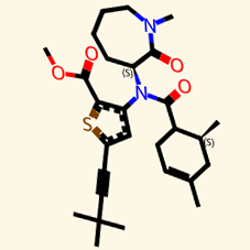 COC(=O)c1sc(C#CC(C)(C)C)cc1N(C(=O)C1CC=C(C)C[C@@H]1C)[C@H]1CCCCN(C)C1=O